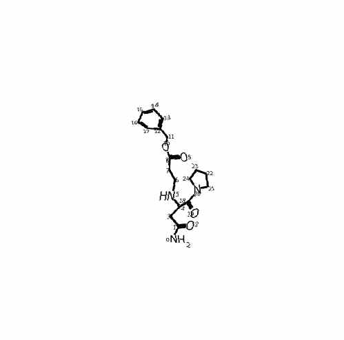 NC(=O)CC(NCCC(=O)OCc1ccccc1)C(=O)N1CCCC1